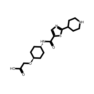 O=C(O)CO[C@H]1CC[C@H](NC(=O)c2cnc(C3CCNCC3)s2)CC1